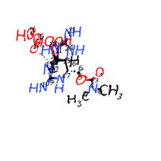 CN(C)C(=O)OC[C@@H]1NC(=N)N2C[C@H](OOO)C(O)(O)[C@@]23NC(=N)N[C@@H]13